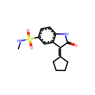 CNS(=O)(=O)c1ccc2c(c1)C(=C1CCCC1)C(=O)N2